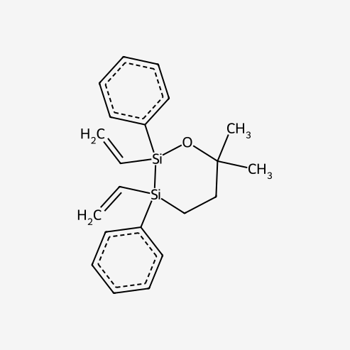 C=C[Si]1(c2ccccc2)CCC(C)(C)O[Si]1(C=C)c1ccccc1